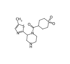 Cc1cnc(C2CNCCN2C(=O)C2CCS(=O)(=O)CC2)s1